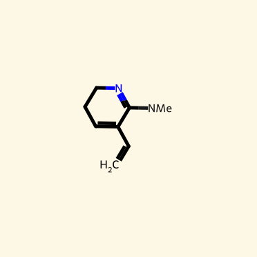 C=CC1=CCCN=C1NC